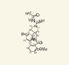 CCCC(=O)NC(=N)N1CCC(CNC(=O)c2ccccc2OC)(c2cccc(F)c2)CC1